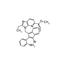 CCc1nc2ccc(C(=O)OC)nc2n1Cc1c2ccocc-2c(Br)c1-c1ccccc1N